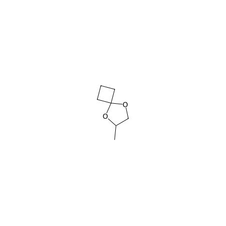 CC1COC2(CCC2)O1